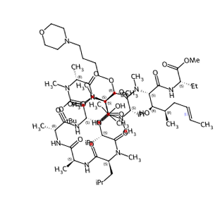 C/C=C/C[C@@H](C)[C@@H](O)[C@@H](C(=O)N[C@@H](CC)C(=O)OC)N(C)C(=O)[C@H](C(C)C)N(C)C(=O)[C@H](CC(C)C)N(C)C(=O)[C@H](CC(C)(C)O)NC(=O)[C@@H](C)NC(=O)[C@H](C)NC(=O)[C@H](CC(C)C)N(C)C(=O)[C@@H](NC(=O)[C@H]([C@@H](C)OCCCCN1CCOCC1)N(C)C(=O)[C@@H](C)N(C)C(=O)OC(C)(C)C)C(C)C